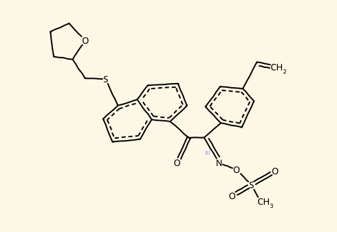 C=Cc1ccc(/C(=N\OS(C)(=O)=O)C(=O)c2cccc3c(SCC4CCCO4)cccc23)cc1